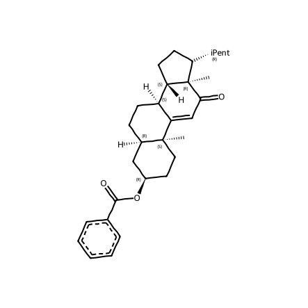 CCC[C@@H](C)C1CC[C@H]2[C@@H]3CC[C@@H]4C[C@H](OC(=O)c5ccccc5)CC[C@]4(C)C3=CC(=O)[C@]12C